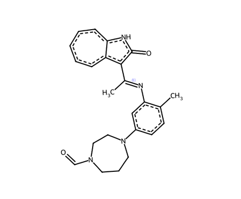 C/C(=N\c1cc(N2CCCN(C=O)CC2)ccc1C)c1c2cccccc-2[nH]c1=O